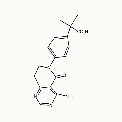 CC(C)(C(=O)O)c1ccc(N2CCc3ncnc(N)c3C2=O)cc1